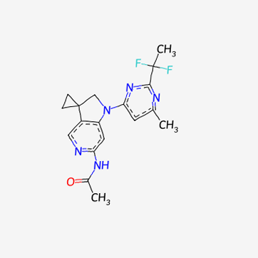 CC(=O)Nc1cc2c(cn1)C1(CC1)CN2c1cc(C)nc(C(C)(F)F)n1